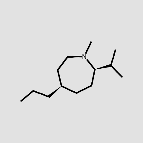 CCC[C@@H]1CC[C@H](C(C)C)N(C)CC1